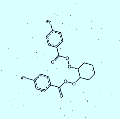 CC(C)c1ccc(C(=O)OO[C]2CCC[CH]C2OOC(=O)c2ccc(C(C)C)cc2)cc1